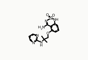 CC(C)(COc1cccc2c1C(N)=NS(=O)(=O)N2)Nc1ncccn1